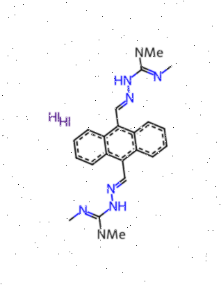 CN=C(NC)NN=Cc1c2ccccc2c(C=NNC(=NC)NC)c2ccccc12.I.I